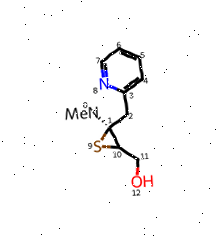 CN[C@@]1(Cc2ccccn2)SC1CO